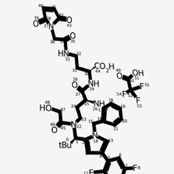 CC(C)(C)[C@H](c1cc(-c2cc(F)ccc2F)cn1Cc1ccccc1)N(CC[C@H](N)C(=O)N[C@H](CCNC(=O)CN1C(=O)C=CC1=O)C(=O)O)C(=O)CO.O=C(O)C(F)(F)F